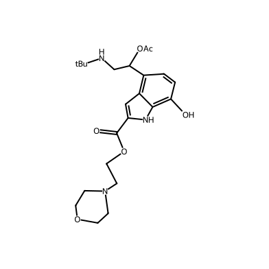 CC(=O)OC(CNC(C)(C)C)c1ccc(O)c2[nH]c(C(=O)OCCN3CCOCC3)cc12